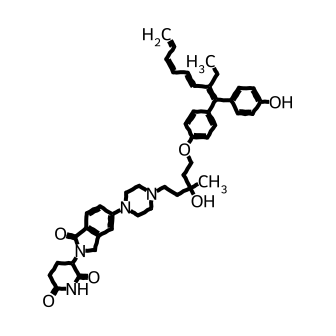 C=C\C=C/C=C/C(CC)=C(/c1ccc(O)cc1)c1ccc(OCCC(C)(O)CCN2CCN(c3ccc4c(c3)CN(C3CCC(=O)NC3=O)C4=O)CC2)cc1